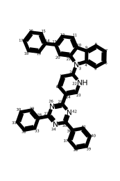 C1=CC(n2c3ccccc3c3ccc(-c4ccccc4)cc32)NC=C1c1nc(-c2ccccc2)nc(-c2ccccc2)n1